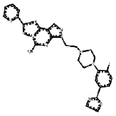 Nc1nc2c(cnn2CCN2CCN(c3cc(-c4ncco4)ccc3F)CC2)c2nc(-c3ccccn3)nn12